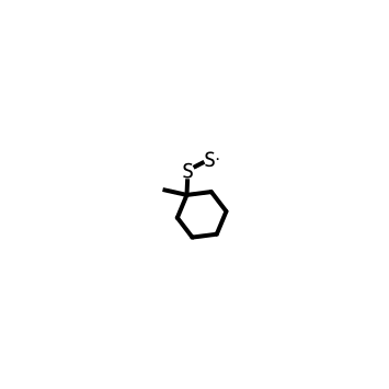 CC1(S[S])CCCCC1